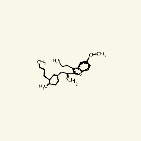 CCCCC1CC(CC(C)c2oc3ccc(OC)cc3c2CCN)CCC1C